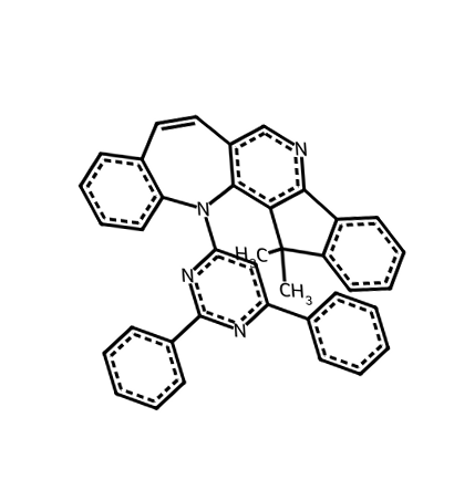 CC1(C)c2ccccc2-c2ncc3c(c21)N(c1cc(-c2ccccc2)nc(-c2ccccc2)n1)c1ccccc1C=C3